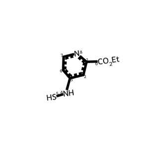 CCOC(=O)c1cc(NS)ccn1